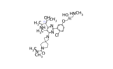 CNC[C@@H](O)COc1ccc(Cl)c(-c2nc(/C(C(C)=N)=C(\C)O)c(C)c(N3CC4(CCN(C(=O)N(C)C)CC4)C3)n2)c1